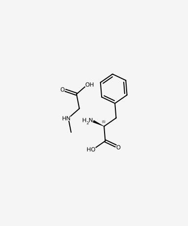 CNCC(=O)O.N[C@@H](Cc1ccccc1)C(=O)O